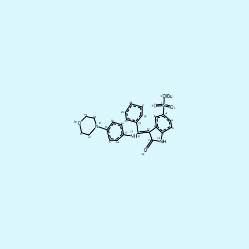 CC(C)COS(=O)(=O)c1ccc2c(c1)/C(=C(/Nc1ccc(N3CCOCC3)cc1)c1ccccc1)C(=O)N2